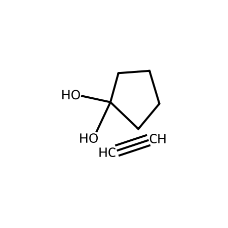 C#C.OC1(O)CCCC1